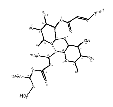 CCCCCCCC=CC(=O)OC1C(OC2C(OC(CCCCCCC)CC(=O)OC(CCCCCCC)CC(=O)O)OC(C)C(O)C2O)OC(C)C(O)C1O